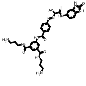 CC(=O)C(N=Nc1ccc(C(=O)Nc2cc(C(=O)NCCCN)cc(C(=O)NCCCN)c2)cc1)C(=O)Nc1ccc2[nH]c(=O)[nH]c2c1